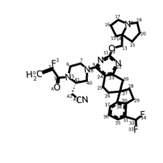 C=C(F)C(=O)N1CCN(c2nc(OCC34CCCN3CCC4)nc3c2CCC2(CCc4c(C(F)F)cccc42)C3)C[C@@H]1CC#N